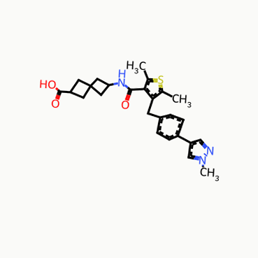 Cc1sc(C)c(C(=O)NC2CC3(C2)CC(C(=O)O)C3)c1Cc1ccc(-c2cnn(C)c2)cc1